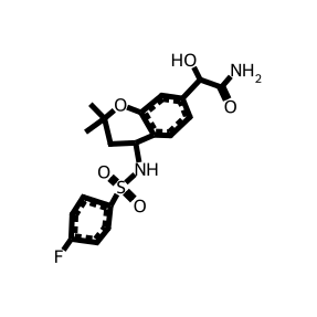 CC1(C)CC(NS(=O)(=O)c2ccc(F)cc2)c2ccc(C(O)C(N)=O)cc2O1